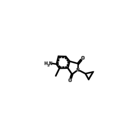 Cc1c(N)ccc2c1C(=O)N(C1CC1)C2=O